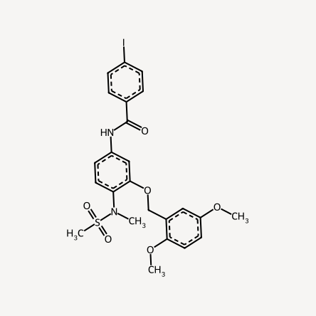 COc1ccc(OC)c(COc2cc(NC(=O)c3ccc(I)cc3)ccc2N(C)S(C)(=O)=O)c1